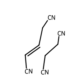 N#CC=CCC#N.N#CCCC#N